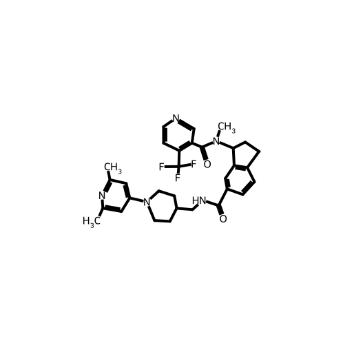 Cc1cc(N2CCC(CNC(=O)c3ccc4c(c3)C(N(C)C(=O)c3cnccc3C(F)(F)F)CC4)CC2)cc(C)n1